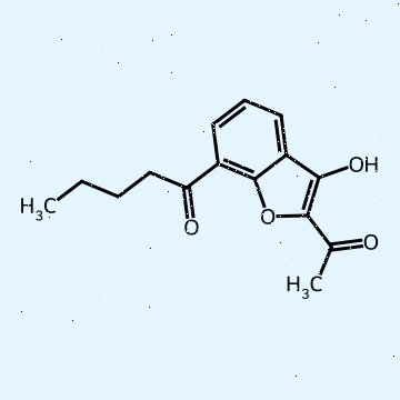 CCCCC(=O)c1cccc2c(O)c(C(C)=O)oc12